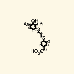 CCCc1c(OCCCSc2ccc(CC(=O)O)cc2F)ccc(C(C)=O)c1O